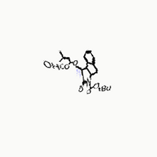 CC(C)=CC(OC=O)O/C=C1/C(=O)N(C(=O)OC(C)(C)C)C2Cc3ccccc3C12